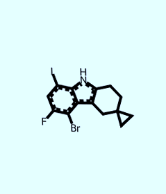 Fc1cc(I)c2[nH]c3c(c2c1Br)CC1(CC3)CC1